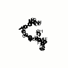 CCc1c(F)ccc2cc(O[Si](C(C)C)(C(C)C)C(C)C)cc(-c3ncc4c(N5CCC[C@@](C)(O)C5)nc(OC[C@@]56CCCN5[C@H](COC(=O)N5CCC(C7(N8CCC(c9ccc%10c(c9)n(C)c(=O)n%10C9CCC(=O)NC9=O)CC8)CC7)CC5)CC6)nc4c3F)c12